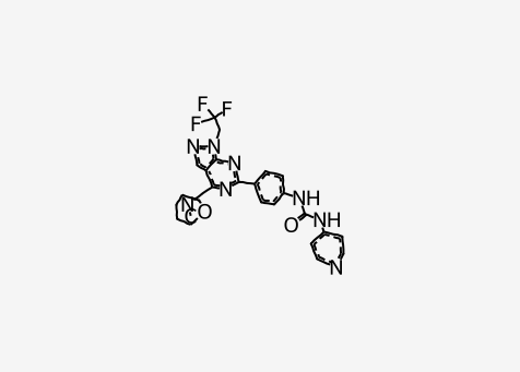 O=C(Nc1ccncc1)Nc1ccc(-c2nc(N3CC4CCC3CO4)c3cnn(CC(F)(F)F)c3n2)cc1